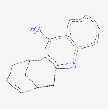 Nc1c2c(nc3ccccc13)CC1C=CCC2C1